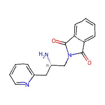 N[C@@H](Cc1ccccn1)CN1C(=O)c2ccccc2C1=O